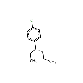 CCC[C@H](CC)c1ccc(Cl)cc1